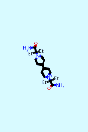 CCC(CC)(C(N)=O)[n+]1ccc(-c2cc[n+](C(CC)(CC)C(N)=O)cc2)cc1